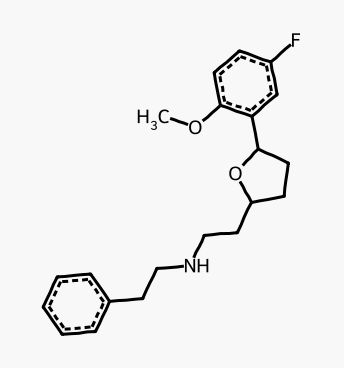 COc1ccc(F)cc1C1CCC(CCNCCc2ccccc2)O1